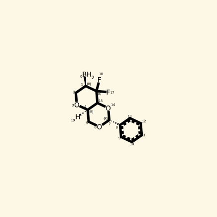 B[C@@H]1CO[C@@H]2CO[C@@H](c3ccccc3)OC2C1(F)F